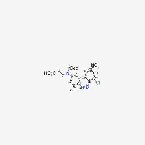 CCCCCCCCCCN(CCC(=O)O)c1ccc(/N=N\c2ccc([N+](=O)[O-])cc2Cl)c(C)c1